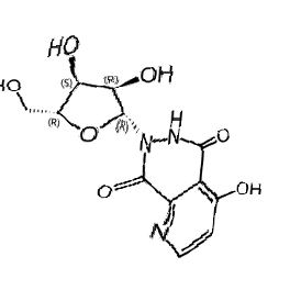 O=c1[nH]n([C@@H]2O[C@H](CO)[C@@H](O)[C@H]2O)c(=O)c2nccc(O)c12